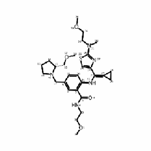 COCCNC(=O)c1cc(CN2CCC[C@@H]2COC)ccc1NC(=C1CC1)c1csc(N(C)CCOC)n1